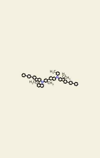 Cc1cccc(N(c2ccc3c(c2)C(C)(C)c2cc(-c4ccc(-c5ccccc5)cc4)ccc2-3)c2ccc3cc(-c4ccc(N(c5ccc6c(c5)C(C)(C)c5cc(-c7ccc(-c8ccccc8)cc7)ccc5-6)c5cccc6ccccc56)cc4C)ccc3c2)c1